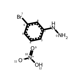 NNc1cccc(Br)c1.O=[N+]([O-])O